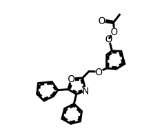 CC(=O)OOc1cccc(OCc2nc(-c3ccccc3)c(-c3ccccc3)o2)c1